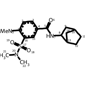 CNc1ccc(C(=O)NC2CC3CCC2C3)cc1S(=O)(=O)N(C)C